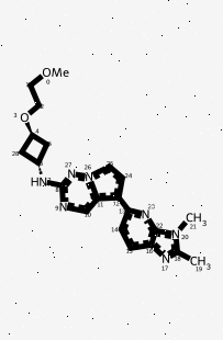 COCCO[C@H]1C[C@H](Nc2ncc3c(-c4ccc5nc(C)n(C)c5n4)ccn3n2)C1